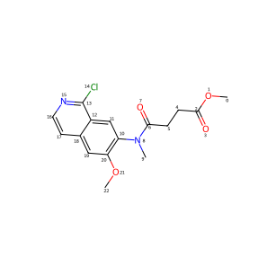 COC(=O)CCC(=O)N(C)c1cc2c(Cl)nccc2cc1OC